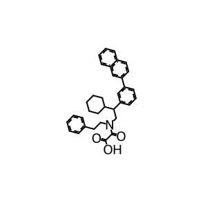 O=C(O)C(=O)N(CCc1ccccc1)CC(c1cccc(-c2ccc3ccccc3c2)c1)C1CCCCC1